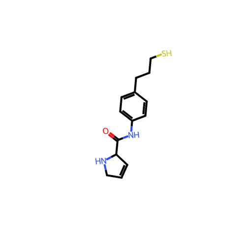 O=C(Nc1ccc(CCCS)cc1)C1C=CCN1